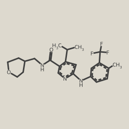 Cc1ccc(Nc2cc(C(C)C)c(C(=O)NCC3CCOCC3)cn2)cc1C(F)(F)F